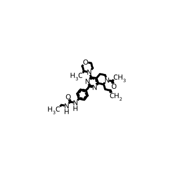 C=CCC1c2nc(-c3ccc(NC(=O)NCC)cc3)nc(N3CCOCC3C)c2CCN1C(C)=O